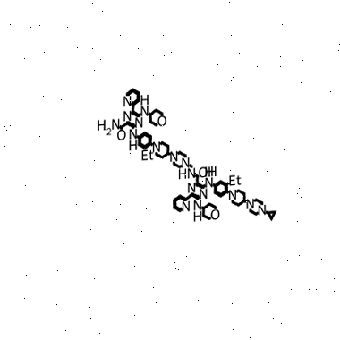 CCc1cc(Nc2nc(NC3CCOCC3)c(-c3ccccn3)nc2C(N)=O)ccc1N1CCC(N2CCN(CNC(O)c3nc(-c4ccccn4)c(NC4CCOCC4)nc3Nc3ccc(N4CCC(N5CCN(C6CC6)CC5)CC4)c(CC)c3)CC2)CC1